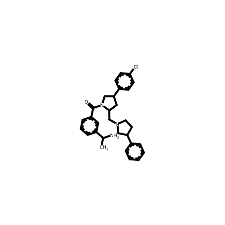 CC(N)c1cccc(C(=O)N2CC(c3ccc(Cl)cc3)CC2CN2CCC(c3ccccc3)C2)c1